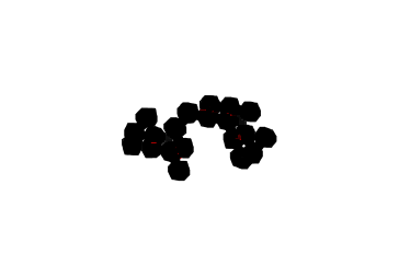 c1ccc(-c2ccc(-c3ccccc3N(c3ccc(-c4c(-c5ccccc5)ccc5ccccc45)cc3)c3ccc(-c4ccc(-c5cccc(-c6ccc(N(c7ccc(-c8c(-c9ccccc9)ccc9ccccc89)cc7)c7ccc(-c8ccccc8)cc7-c7ccccc7)c(-c7ccccc7)c6)c5)cc4)cc3-c3ccccc3)cc2)cc1